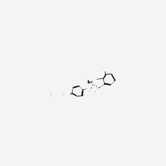 Cc1ccc(S(=O)(=O)N2Cc3cccc(Cl)c3C2)cc1